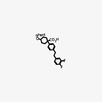 CCCCCOC1CCC(C(=O)O)(c2ccc(CCc3ccc(F)c(F)c3)cc2)CC1